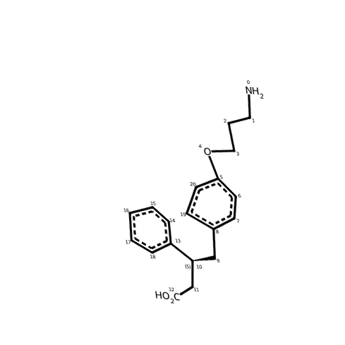 NCCCOc1ccc(C[C@@H](CC(=O)O)c2ccccc2)cc1